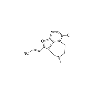 CN1CCc2c(Cl)ccc3oc(/C=C/C#N)c(c23)C1